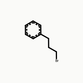 BrCCCc1cc[c]cc1